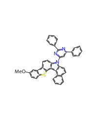 COc1ccc2sc3c(ccc4c3c3c5ccccc5ccc3n4-c3cc(-c4ccccc4)nc(-c4ccccc4)n3)c2c1